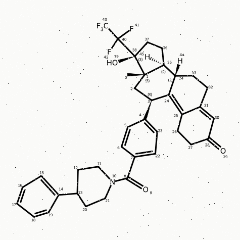 C[C@]12C[C@H](c3ccc(C(=O)N4CCC(c5ccccc5)CC4)cc3)C3=C4CCC(=O)C=C4CC[C@H]3[C@@H]1CC[C@@]2(O)C(F)(F)C(F)(F)F